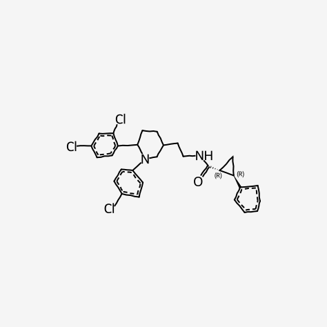 O=C(NCCC1CCC(c2ccc(Cl)cc2Cl)N(c2ccc(Cl)cc2)C1)[C@@H]1C[C@H]1c1ccccc1